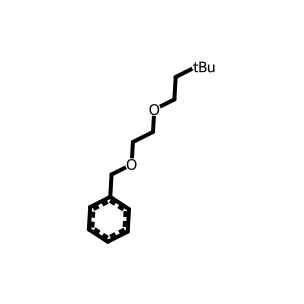 CC(C)(C)CCOCCOCc1ccccc1